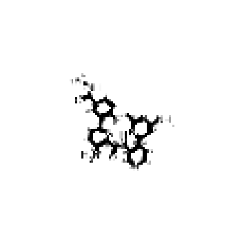 CCCNC(=O)c1ccc(F)c(-c2ccc(N)c(C(=O)Nc3cnccc3-c3cc(N)nc(C)n3)n2)c1